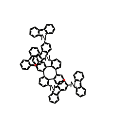 c1ccc2c(c1)-c1cccc(-n3c4ccccc4c4cc(-n5c6ccccc6c6ccccc65)ccc43)c1-c1cc3c4ccccc4c4ccccc4c3cc1-c1cccc(-n3c4ccccc4c4cc(-n5c6ccccc6c6ccccc65)ccc43)c1-2